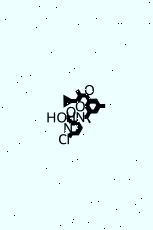 Cc1cc([C@@H](C)Nc2ccc(Cl)nc2C(=O)O)c2oc(C3CC3)c(C)c(=O)c2c1